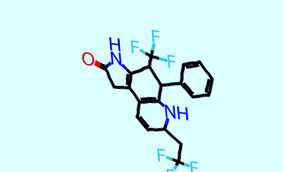 O=C1CC2=C(N1)C(C(F)(F)F)C(c1ccccc1)C1=C2C=CC(CC(F)(F)F)N1